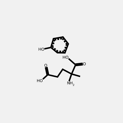 CC(N)(CCC(=O)O)C(=O)O.Oc1ccccc1